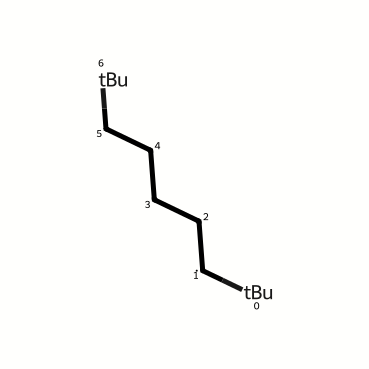 CC(C)(C)[CH]CCCCC(C)(C)C